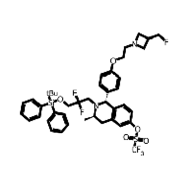 C[C@@H]1Cc2cc(OS(=O)(=O)C(F)(F)F)ccc2[C@@H](c2ccc(OCCN3CC(CF)C3)cc2)N1CC(F)(F)CO[Si](c1ccccc1)(c1ccccc1)C(C)(C)C